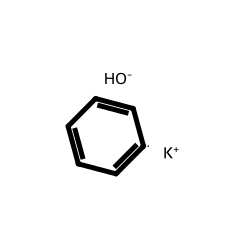 [K+].[OH-].[c]1ccccc1